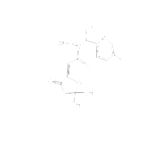 CON(C(=O)C=C1OC(C)(C)OC1=O)C(C)c1ccc(F)cc1